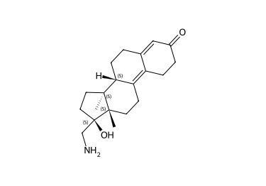 C[C@]12CCC3=C4CCC(=O)C=C4CC[C@H]3[C@]1(C)CC[C@@]2(O)CN